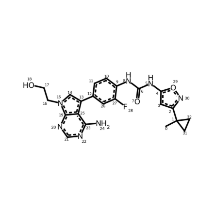 CC1(c2cc(NC(=O)Nc3ccc(-c4cn(CCO)c5ncnc(N)c45)cc3F)on2)CC1